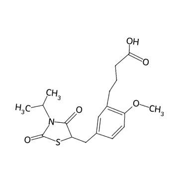 COc1ccc(CC2SC(=O)N(C(C)C)C2=O)cc1CCCC(=O)O